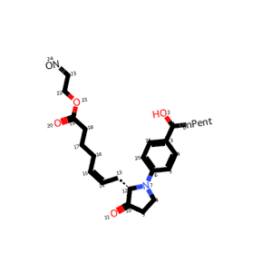 CCCCCC(O)c1ccc(N2CCC(=O)[C@@H]2C/C=C\CCCC(=O)OCCN=O)cc1